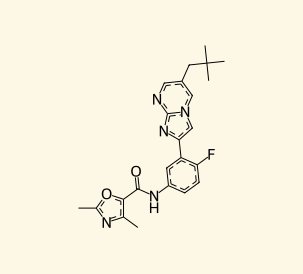 Cc1nc(C)c(C(=O)Nc2ccc(F)c(-c3cn4cc(CC(C)(C)C)cnc4n3)c2)o1